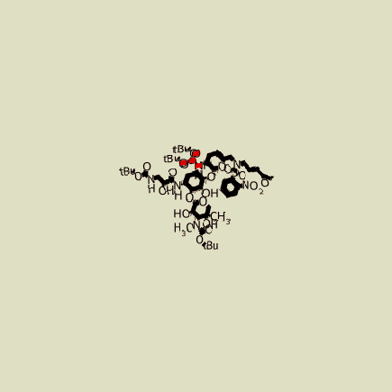 CN(C(=O)OC(C)(C)C)[C@@H]1[C@@H](O)[C@@H](O[C@@H]2[C@@H](O)[C@H](O[C@H]3OC(CN(CCCC4CO4)S(=O)(=O)c4ccccc4[N+](=O)[O-])=CC[C@H]3NC(=O)OC(C)(C)C)[C@@H](NC(=O)OC(C)(C)C)C[C@H]2NC(=O)[C@@H](O)CNC(=O)OC(C)(C)C)OC[C@]1(C)O